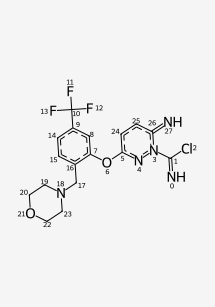 N=C(Cl)n1nc(Oc2cc(C(F)(F)F)ccc2CN2CCOCC2)ccc1=N